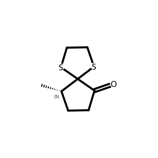 C[C@H]1CCC(=O)C12SCCS2